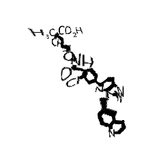 CC(C)(CCCONC(=O)c1ccc(-c2ccc3nnn(Cc4ccc5ncccc5c4)c3n2)cc1Cl)C(=O)O